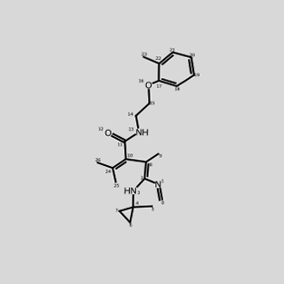 C=N/C(NC1(C)CC1)=C(\C)C(C(=O)NCCOc1ccccc1C)=C(C)C